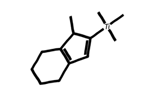 CC1[C]([Ti]([CH3])([CH3])[CH3])=CC2=C1CCCC2